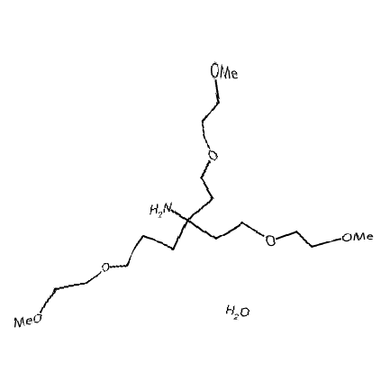 COCCOCCCC(N)(CCOCCOC)CCOCCOC.O